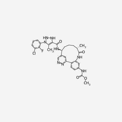 COC(=O)Nc1ccc2c(c1)NC(=O)[C@@H](C)CCC[C@H](NC(=O)C1=C(C)N(c3cccc(Cl)c3F)NN1)c1cnnc-2c1